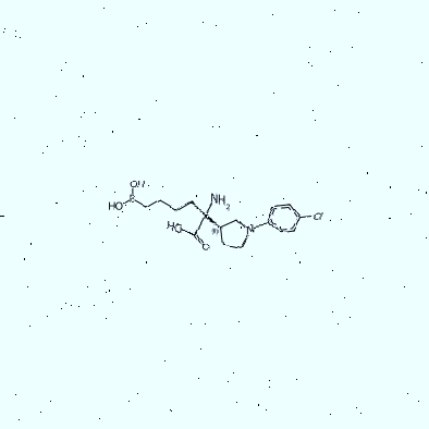 NC(CCCCB(O)O)(C(=O)O)[C@@H]1CCN(c2ccc(Cl)cc2)C1